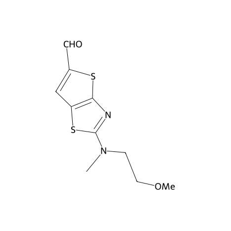 COCCN(C)c1nc2sc(C=O)cc2s1